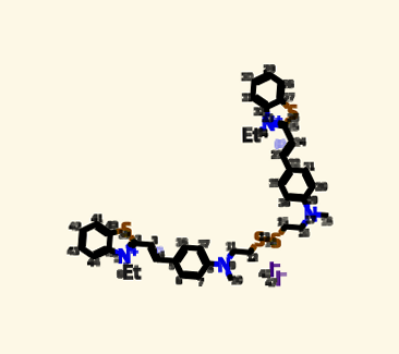 CC[n+]1c(/C=C/c2ccc(N(C)CCSSCCN(C)c3ccc(/C=C/c4sc5ccccc5[n+]4CC)cc3)cc2)sc2ccccc21.[I-].[I-]